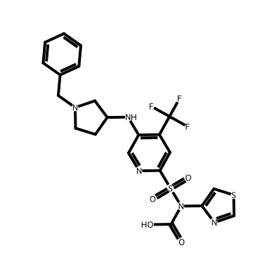 O=C(O)N(c1cscn1)S(=O)(=O)c1cc(C(F)(F)F)c(NC2CCN(Cc3ccccc3)C2)cn1